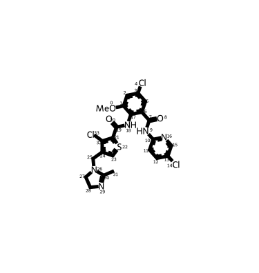 COc1cc(Cl)cc(C(=O)Nc2ccc(Cl)cn2)c1NC(=O)c1scc(CN2CCN=C2C)c1Cl